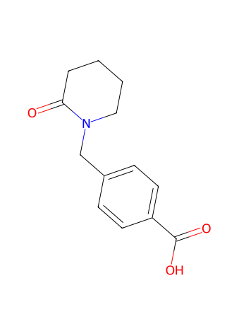 O=C(O)c1ccc(CN2CCCCC2=O)cc1